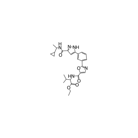 CCOC(=O)C(NC(=O)c1cnc(-c2cccc(-c3cc(C(=O)NC(C)C4CC4)n[nH]3)c2)o1)C(C)C